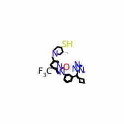 C[C@@H]1CN(Cc2cc(C(F)(F)F)c3cn(-c4cccc(C(=C5CCC5)c5nncn5C)c4)c(=O)n3c2)CCC1S